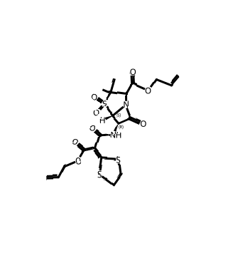 C=CCOC(=O)C(C(=O)N[C@@H]1C(=O)N2C(C(=O)OCC=C)C(C)(C)S(=O)(=O)[C@@H]12)=C1SCCS1